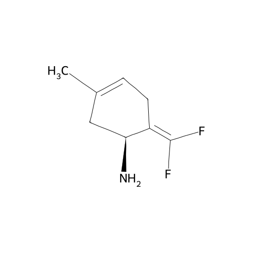 CC1=CCC(=C(F)F)[C@@H](N)C1